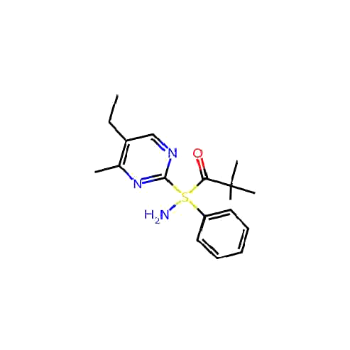 CCc1cnc(S(N)(C(=O)C(C)(C)C)c2ccccc2)nc1C